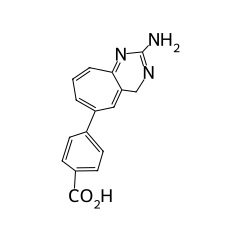 NC1=NCC2=CC(c3ccc(C(=O)O)cc3)=CC=CC2=N1